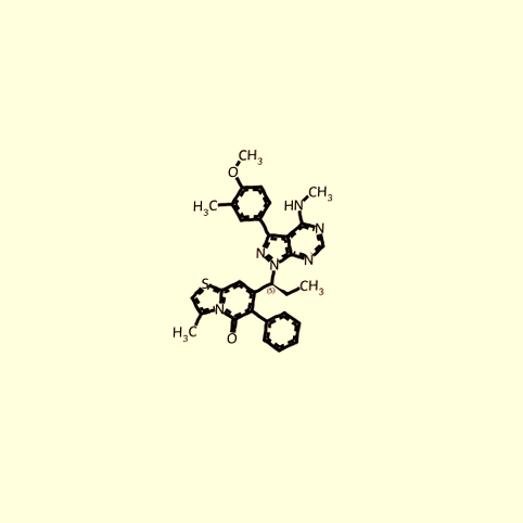 CC[C@@H](c1cc2scc(C)n2c(=O)c1-c1ccccc1)n1nc(-c2ccc(OC)c(C)c2)c2c(NC)ncnc21